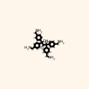 CC(C(=O)C(C)(c1ccc(CN)cc1)c1ccc(CN)cc1)(c1ccc(CN)cc1)c1ccc(CN)cc1